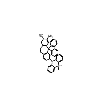 Cc1ccccc1C1(c2ccccc2)C2=C(CCc3ccc(N4c5ccccc5C(C)(C)c5ccccc54)cc31)CC(C#N)C(N)=C2